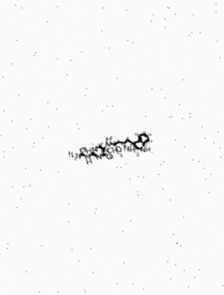 C[C@@]1(NC(=O)C[C@@H](N)Cc2c[nH]c3ccccc23)CNC(NC(N)=O)=NC1=O